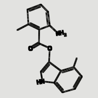 Cc1cccc(N)c1C(=O)Oc1c[nH]c2cccc(C)c12